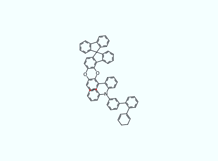 C1=CC(c2ccccc2-c2cccc(N(c3ccccc3)c3ccccc3-c3cccc4c3Oc3c(ccc5c3-c3ccccc3C53c5ccccc5-c5ccccc53)O4)c2)=CCC1